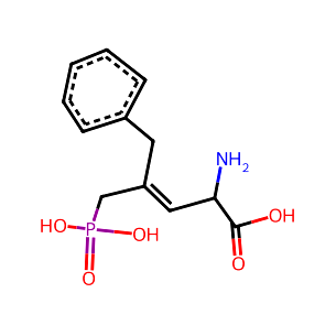 NC(C=C(Cc1ccccc1)CP(=O)(O)O)C(=O)O